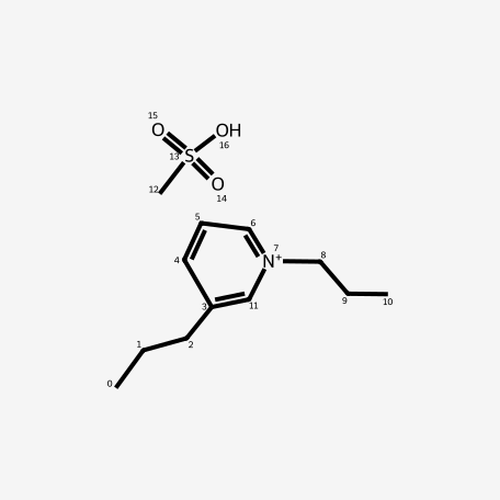 CCCc1ccc[n+](CCC)c1.CS(=O)(=O)O